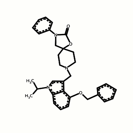 CC(C)n1cc(CN2CCC3(CC2)CN(c2ccccc2)C(=O)O3)c2c(OCc3ccccc3)cccc21